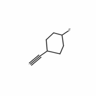 [C]#CC1CCC(F)CC1